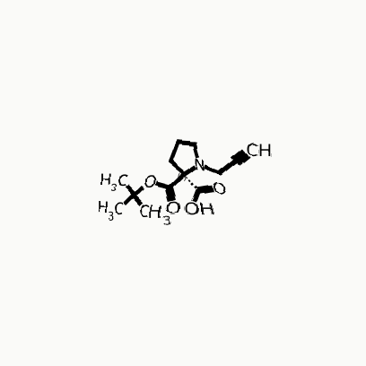 C#CCN1CCC[C@]1(C(=O)O)C(=O)OC(C)(C)C